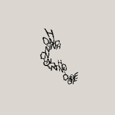 O=C1NC(=O)C2(CN(c3cccc(-c4ccc5cnc(CNC(=O)c6cccc(S(=O)(=O)C(F)F)c6)cc5n4)n3)C2)N1